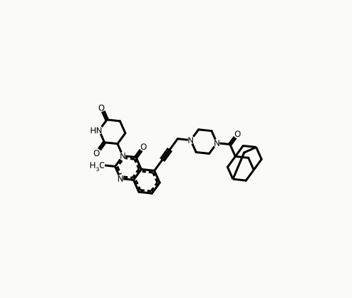 Cc1nc2cccc(C#CCN3CCN(C(=O)C45CC6CC(CC(C6)C4)C5)CC3)c2c(=O)n1C1CCC(=O)NC1=O